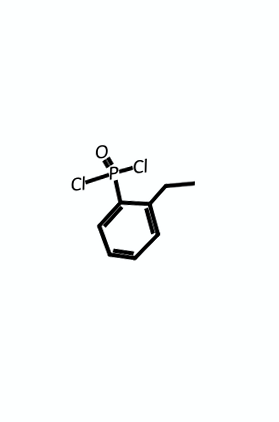 CCc1ccccc1P(=O)(Cl)Cl